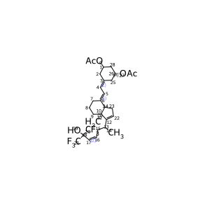 CC(=O)OC1C/C(=C/C=C2\CCC[C@]3(C)C(C(C)C/C=C\C(O)(C(F)(F)F)C(F)(F)F)=CCC23)C[C@@H](OC(C)=O)C1